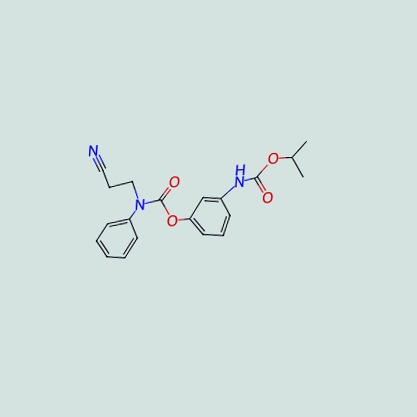 CC(C)OC(=O)Nc1cccc(OC(=O)N(CCC#N)c2ccccc2)c1